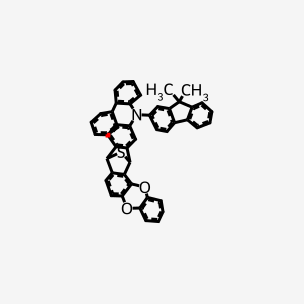 CC1(C)c2ccccc2-c2ccc(N(c3ccc4c(c3)C3SC4c4ccc5c(c43)Oc3ccccc3O5)c3ccccc3-c3ccccc3)cc21